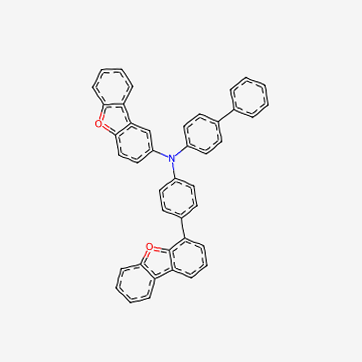 c1ccc(-c2ccc(N(c3ccc(-c4cccc5c4oc4ccccc45)cc3)c3ccc4oc5ccccc5c4c3)cc2)cc1